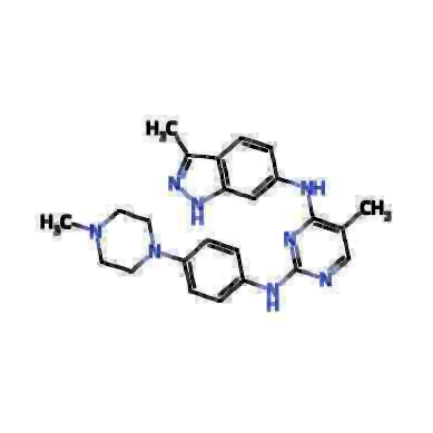 Cc1cnc(Nc2ccc(N3CCN(C)CC3)cc2)nc1Nc1ccc2c(C)n[nH]c2c1